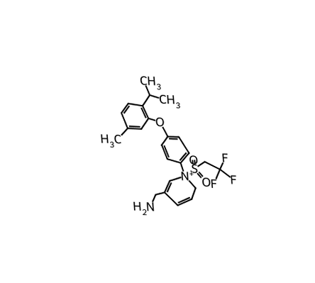 Cc1ccc(C(C)C)c(Oc2ccc([N+]3(S(=O)(=O)CC(F)(F)F)C=C(CN)C=CC3)cc2)c1